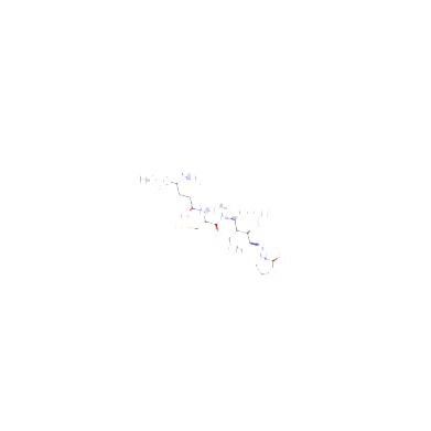 CC(=O)N(C(=O)C(CS)NC(=O)CCC(N)C(=O)O)[C@H](C(=O)O)C(CC#N)C(=O)C=NN1CCOC1=O